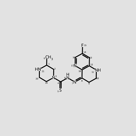 CC1CN(C(=S)N/N=C2/CCNc3cc(F)cnc32)CCN1